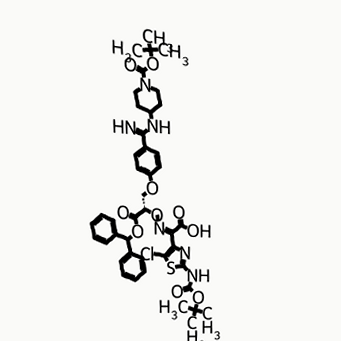 CC(C)(C)OC(=O)Nc1nc(/C(=N/O[C@@H](COc2ccc(C(=N)NC3CCN(C(=O)OC(C)(C)C)CC3)cc2)C(=O)OC(c2ccccc2)c2ccccc2)C(=O)O)c(Cl)s1